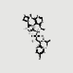 COc1ncnc(OC)c1-n1c(NS(=O)(=O)[C@@H](C)[C@@H](OC(C)C)c2ncc(C)cn2)nnc1C1CCC1